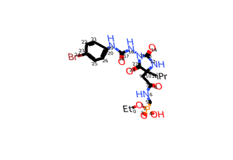 CCOP(=O)(O)CNC(=O)CC1(C(C)C)NC(=O)N(NC(=O)Nc2ccc(Br)cc2)C1=O